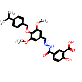 COc1cc(/C=N/NC(=O)c2ccc(O)c(C(=O)O)c2)cc(OC)c1OCc1ccc(C(C)C)cc1